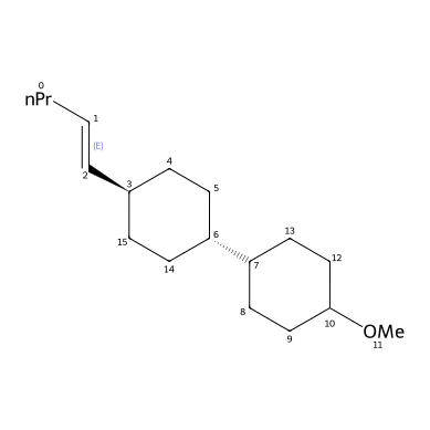 CCC/C=C/[C@H]1CC[C@H](C2CCC(OC)CC2)CC1